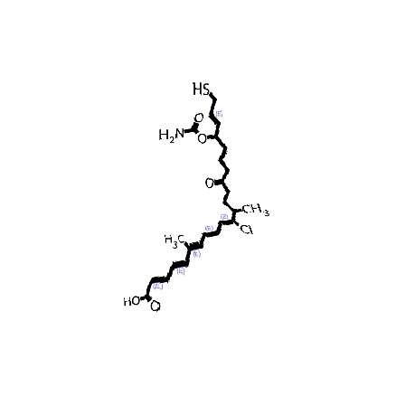 CC(/C=C/C=C/C(=O)O)=C\C=C\C=C(/Cl)C(C)CCC(=O)CCCC(/C=C/CS)OC(N)=O